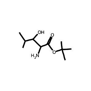 CC(C)C(O)C(N)C(=O)OC(C)(C)C